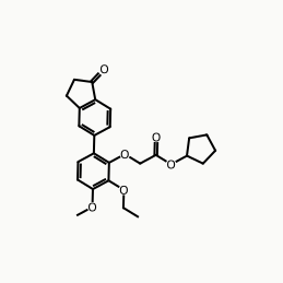 CCOc1c(OC)ccc(-c2ccc3c(c2)CCC3=O)c1OCC(=O)OC1CCCC1